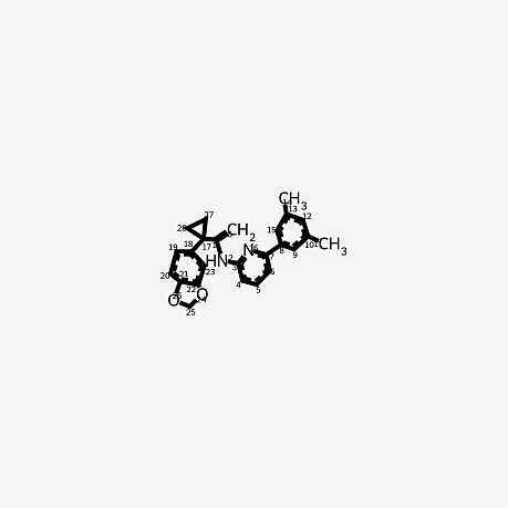 C=C(Nc1cccc(-c2cc(C)cc(C)c2)n1)C1(c2ccc3c(c2)OCO3)CC1